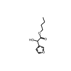 CCCCOC(=O)C(O)c1ccoc1